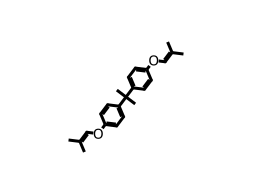 CC(C)=COc1ccc(C(C)(C)c2ccc(OC=C(C)C)cc2)cc1